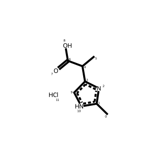 Cc1nc(C(C)C(=O)O)c[nH]1.Cl